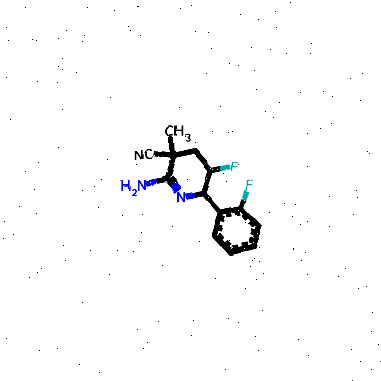 CC1(C#N)CC(F)C(c2ccccc2F)N=C1N